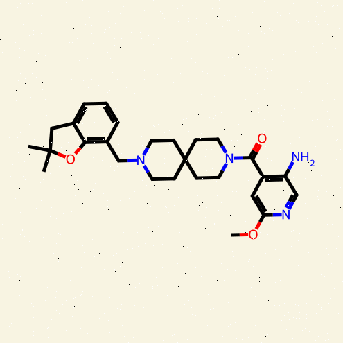 COc1cc(C(=O)N2CCC3(CCN(Cc4cccc5c4OC(C)(C)C5)CC3)CC2)c(N)cn1